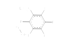 CCO.CCOC(=O)c1c(F)c(F)c(F)c(F)c1F